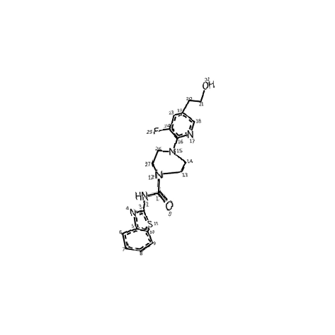 O=C(Nc1nc2ccccc2s1)N1CCN(c2ncc(CCO)cc2F)CC1